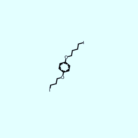 ICCCCOc1ccc(OCCCI)cc1